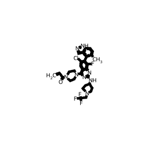 C=CC(=O)N1CCN(c2nc(NC3CCN(CC(F)(F)F)CC3)nc3c(F)c(-c4c(C)ccc5[nH]ncc45)c(Cl)cc23)CC1